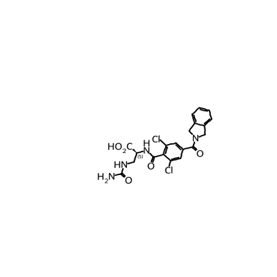 NC(=O)NC[C@H](NC(=O)c1c(Cl)cc(C(=O)N2Cc3ccccc3C2)cc1Cl)C(=O)O